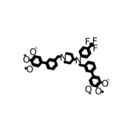 COc1cc(-c2cccc(CN3CCC(N(Cc4cccc(-c5cc(OC)c(OC)c(OC)c5)c4)c4ccc(C(F)(F)F)cc4)CC3)c2)cc(OC)c1OC